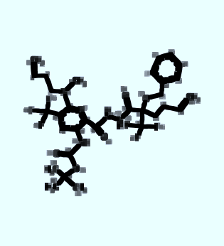 C=CCCN(C)c1nc(C(=O)NNC(=O)C(CCC=C)(OCc2ccccc2)C(F)(F)F)c(NC(=O)OC(C)(C)C)cc1C(F)(F)F